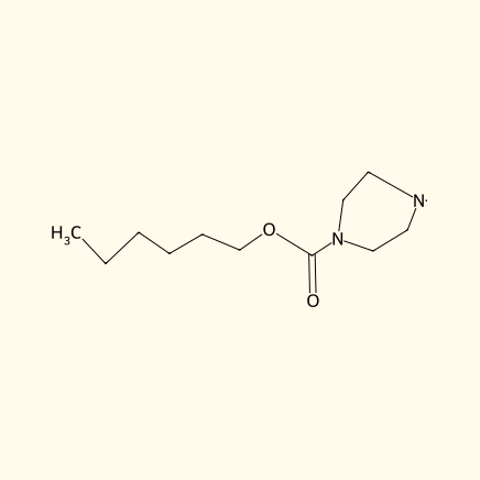 CCCCCCOC(=O)N1CC[N]CC1